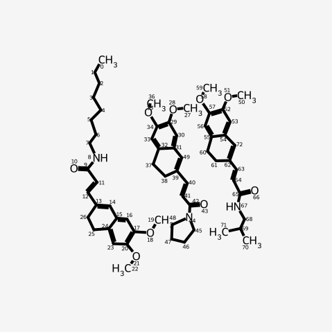 CCCCCCCCNC(=O)C=CC1=Cc2cc(OC)c(OC)cc2CC1.COc1cc2c(cc1OC)CCC(C=CC(=O)N1CCCC1)=C2.COc1cc2c(cc1OC)CCC(C=CC(=O)NCC(C)C)=C2